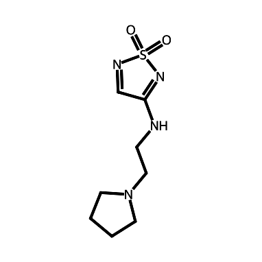 O=S1(=O)N=CC(NCCN2CCCC2)=N1